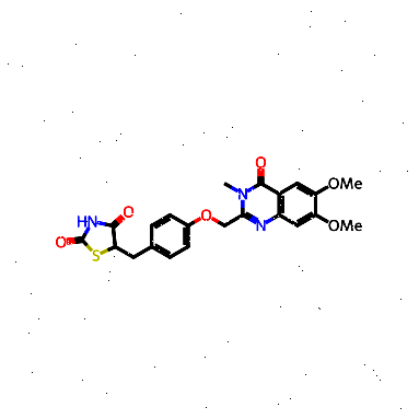 COc1cc2nc(COc3ccc(CC4SC(=O)NC4=O)cc3)n(C)c(=O)c2cc1OC